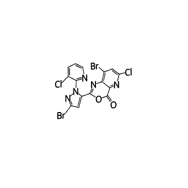 O=c1oc(-c2cc(Br)nn2-c2ncccc2Cl)nc2c(Br)cc(Cl)nc12